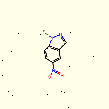 O=[N+]([O-])c1ccc2c(cnn2F)c1